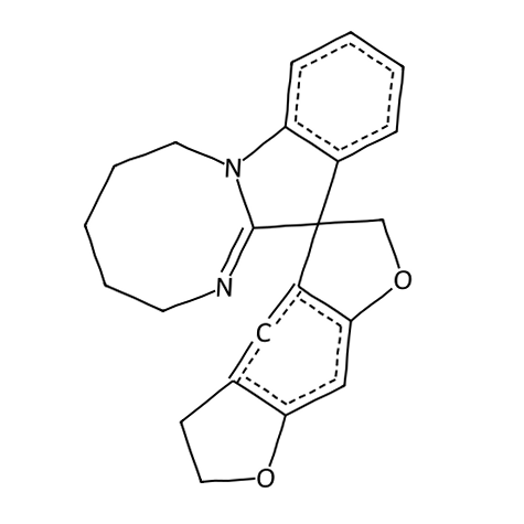 c1ccc2c(c1)N1CCCCC/N=C\1C21COc2cc3c(cc21)CCO3